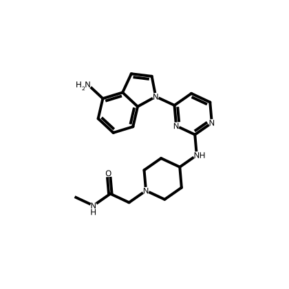 CNC(=O)CN1CCC(Nc2nccc(-n3ccc4c(N)cccc43)n2)CC1